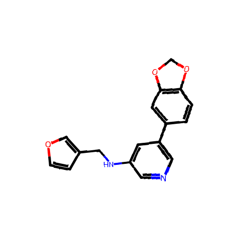 c1cc(CNc2cncc(-c3ccc4c(c3)OCO4)c2)co1